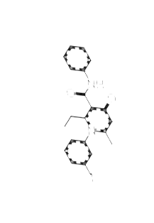 CCc1c(C(=O)Nc2ccccc2)c(=O)cc(C)n1-c1cccc(I)c1